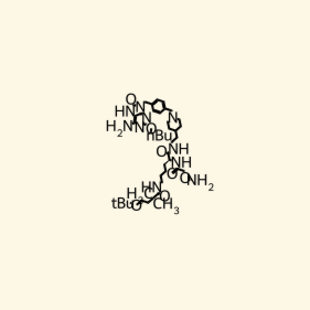 CCCCOc1nc(N)c2[nH]c(=O)n(Cc3ccc(CN4CCC(CCNC(=O)[C@H](CCCCNC(=O)C(C)(C)CCOC(C)(C)C)NC(=O)CON)CC4)cc3)c2n1